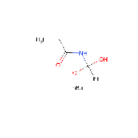 C=CC(=O)NC(O)(CC)OCCCC